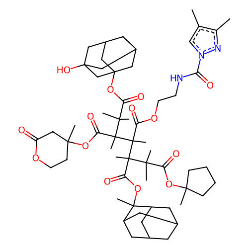 Cc1cn(C(=O)NCCOC(=O)C(C)(C(C)(C(=O)OC2(C)CCOC(=O)C2)C(C)(C)C(=O)OC23CC4CC(CC(O)(C4)C2)C3)C(C)(C(=O)OC2(C)C3CC4CC(C3)CC2C4)C(C)(C)C(=O)OC2(C)CCCC2)nc1C